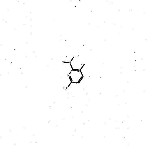 Cc1ccc(C(F)(F)F)nc1N(C)C